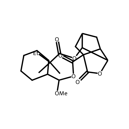 CCC(C)(C)C(=O)OC1C2CC3C1OC(=O)C3(C(=O)OC(OC)C1CCCCC1)C2